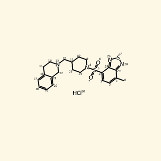 Cc1ccc(S(=O)(=O)N2CCC(CN3CCc4ccccc4C3)CC2)c2nsnc12.Cl